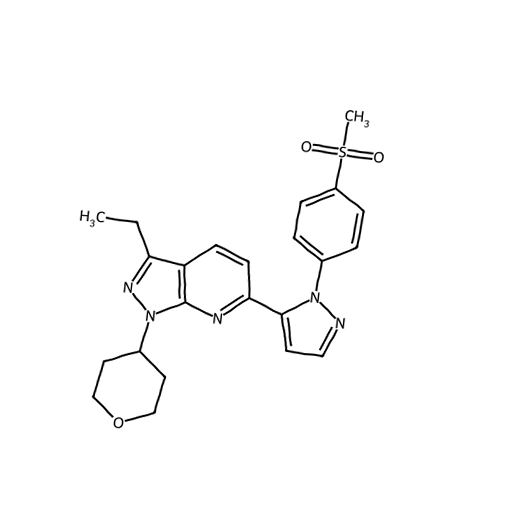 CCc1nn(C2CCOCC2)c2nc(-c3ccnn3-c3ccc(S(C)(=O)=O)cc3)ccc12